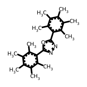 Cc1c(C)c(C)c(-c2nnc(-c3c(C)c(C)c(C)c(C)c3C)o2)c(C)c1C